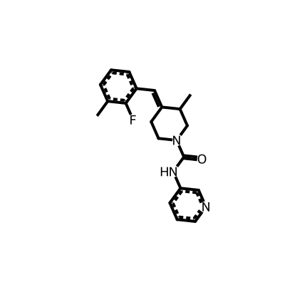 Cc1cccc(C=C2CCN(C(=O)Nc3cccnc3)CC2C)c1F